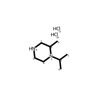 CC(C)N1CCNCC1C.Cl.Cl